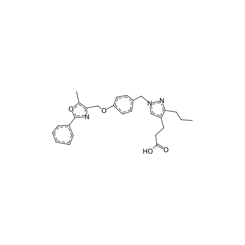 CCCc1nn(Cc2ccc(OCc3nc(-c4ccccc4)oc3C)cc2)cc1CCC(=O)O